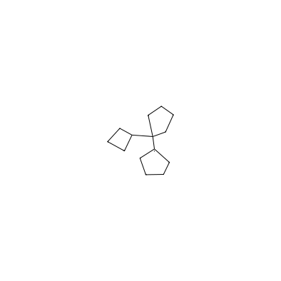 C1CC[C](C2(C3CCC3)CCCC2)C1